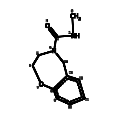 CNC(=O)N1CCOc2ccccc2C1